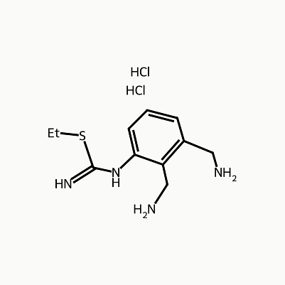 CCSC(=N)Nc1cccc(CN)c1CN.Cl.Cl